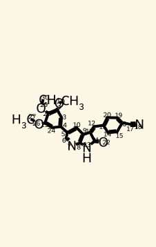 COc1cc(-c2cnc3c(c2)/C(=C/c2ccc(C#N)cc2)C(=O)N3)cc(OC)c1OC